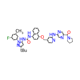 Cc1cc(F)cc(-n2nc(C(C)(C)C)cc2NC(=O)Nc2ccc(OCc3ccnc(Nc4cnc(C(=O)N5CCCC5)cn4)c3)c3ccccc23)c1